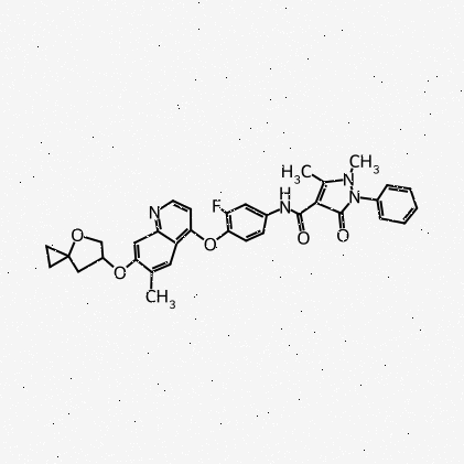 Cc1cc2c(Oc3ccc(NC(=O)c4c(C)n(C)n(-c5ccccc5)c4=O)cc3F)ccnc2cc1OC1COC2(CC2)C1